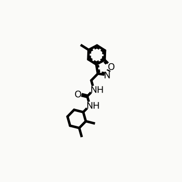 Cc1ccc2onc(CNC(=O)NC3CCCC(C)C3C)c2c1